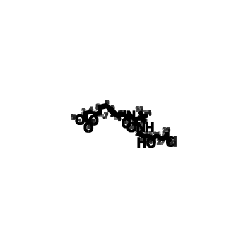 COC1=CC[C@@H]([C@@H](C)/C=C\C#C/C=C/C(=O)N[C@H](C(=O)N/C=C\C[C@@H](O)C/C=C(\C)Cl)C(C)(C)C)OC1=O